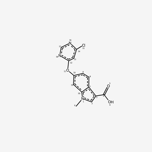 Cn1cc(C(=O)O)c2ccc(Oc3cc(Cl)ncn3)cc21